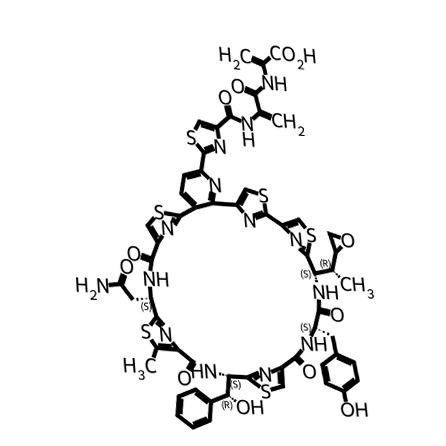 C=C(NC(=O)C(=C)NC(=O)c1csc(-c2ccc3c(n2)-c2csc(n2)-c2csc(n2)[C@H]([C@@H](C)C2CO2)NC(=O)[C@H](Cc2ccc(O)cc2)NC(=O)c2csc(n2)[C@H]([C@H](O)c2ccccc2)NC(=O)c2nc(sc2C)[C@H](CC(N)=O)NC(=O)c2csc-3n2)n1)C(=O)O